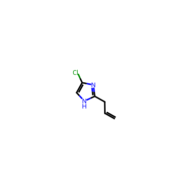 C=CCc1nc(Cl)c[nH]1